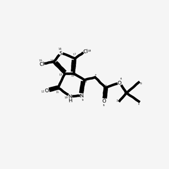 CC(C)(C)OC(=O)Cc1n[nH]c(=O)c2c(Cl)sc(Cl)c12